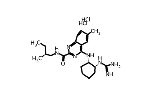 CC[C@H](C)CNC(=O)c1nc(N[C@H]2CCCC[C@H]2NC(=N)N)c2cc(C)ccc2n1.Cl.Cl